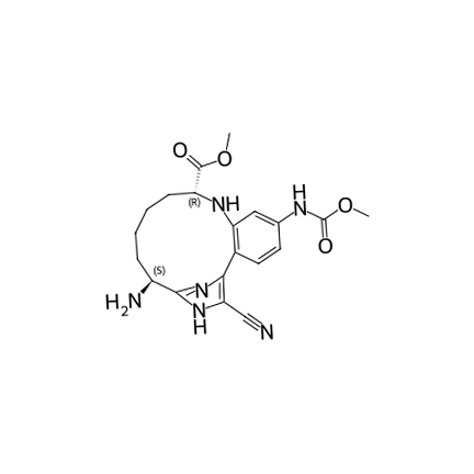 COC(=O)Nc1ccc2c(c1)N[C@@H](C(=O)OC)CCCC[C@H](N)c1nc-2c(C#N)[nH]1